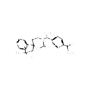 C[C@@H](c1ccc(C(N)=O)cc1)N1CCC(CC(C)(C)O)(c2ccccc2)OC1=O